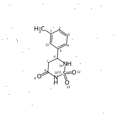 Cc1cccc(C2CC(=O)NS(=O)(=O)N2)c1